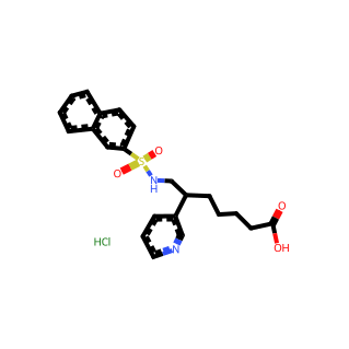 Cl.O=C(O)CCCCC(CNS(=O)(=O)c1ccc2ccccc2c1)c1cccnc1